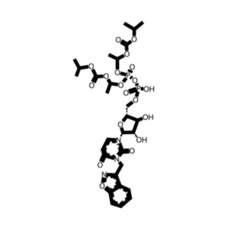 CC(C)OC(=O)OC(C)OP(=O)(OC(C)OC(=O)OC(C)C)OP(=O)(O)OC[C@H]1O[C@@H](n2ccc(=O)n(Cc3noc4ccccc34)c2=O)[C@@H](O)C1O